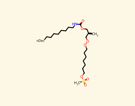 C=C(COOCCCCCCCOS(C)(=O)=O)COC(=O)NCCCCCCCCCCCCCCCCCC